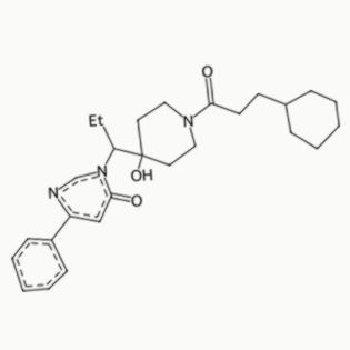 CCC(n1cnc(-c2ccccc2)cc1=O)C1(O)CCN(C(=O)CCC2CCCCC2)CC1